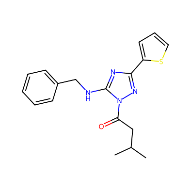 CC(C)CC(=O)n1nc(-c2cccs2)nc1NCc1ccccc1